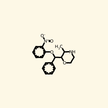 CC1NCCOC1C(Oc1ccccc1[N+](=O)[O-])c1ccccc1